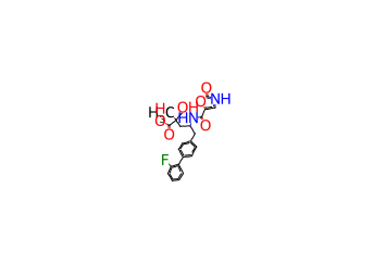 CC(CO)(CC(Cc1ccc(-c2ccccc2F)cc1)NC(=O)c1c[nH]c(=O)o1)C(=O)O